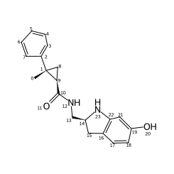 C[C@@]1(c2ccccc2)C[C@H]1C(=O)NC[C@@H]1Cc2ccc(O)cc2N1